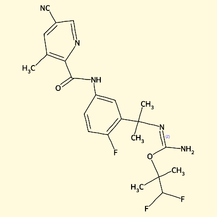 Cc1cc(C#N)cnc1C(=O)Nc1ccc(F)c(C(C)(C)/N=C(/N)OC(C)(C)C(F)F)c1